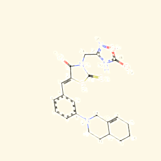 O=C1C(=Cc2cccc(N3CCC4CCCC=C4C3)c2)SC(=S)N1Cc1noc(=O)[nH]1